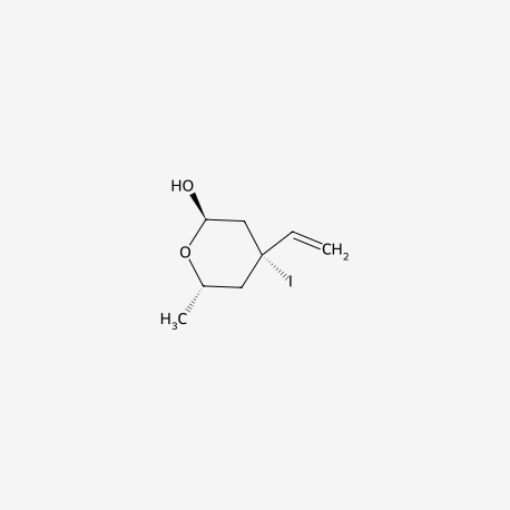 C=C[C@@]1(I)C[C@H](C)O[C@@H](O)C1